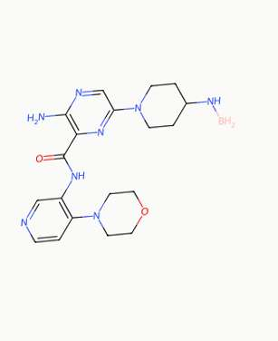 BNC1CCN(c2cnc(N)c(C(=O)Nc3cnccc3N3CCOCC3)n2)CC1